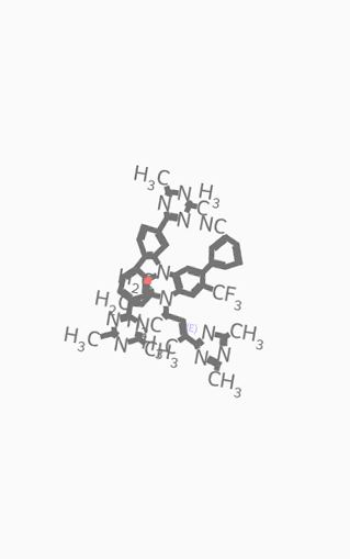 C=CC(=C)N(C(=C)/C=C(\C)c1nc(C)nc(C)n1)c1cc(C(F)(F)F)c(-c2cccc(C#N)c2)cc1-n1c2cc(-c3nc(C)nc(C)n3)ccc2c2ccc(-c3nc(C)nc(C)n3)cc21